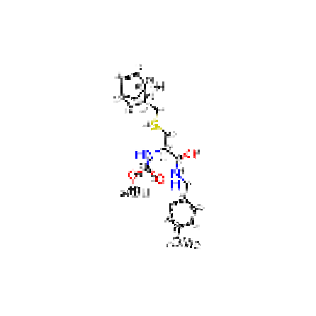 COc1ccc(CNC(=O)[C@H](CSC[C@H]2CC3C=C[C@@H]2C3)NC(=O)OC(C)(C)C)cc1